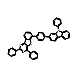 c1ccc(-c2nc(-c3ccccc3)c3oc4c(-c5ccc(-c6ccc7c8ccccc8n(-c8ccccc8)c7c6)cc5)cccc4c3n2)cc1